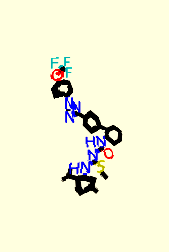 CCS/C(=N\C(=O)NC1CCCCC1c1ccc(-c2ncn(-c3ccc(OC(F)(F)F)cc3)n2)cc1)Nc1cc(C)ccc1C(C)C